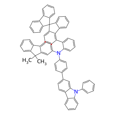 CC1(C)c2ccccc2-c2ccc(N(c3ccc(-c4ccc5c6ccccc6n(-c6ccccc6)c5c4)cc3)c3ccccc3-c3cccc4c3-c3ccccc3C43c4ccccc4-c4ccccc43)cc21